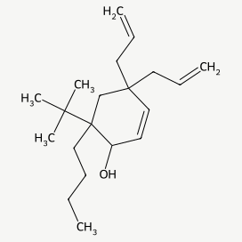 C=CCC1(CC=C)C=CC(O)C(CCCC)(C(C)(C)C)C1